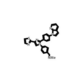 CNCc1ccc(-n2cc(-c3nccs3)nc2-c2ccc(-n3ccc4cccnc43)cc2)cc1